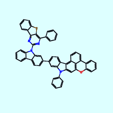 c1ccc(-c2nc(-n3c4ccccc4c4ccc(-c5ccc6c7c8cccc9c8c(cc7n(-c7ccccc7)c6c5)Oc5ccccc5-9)cc43)nc3c2sc2ccccc23)cc1